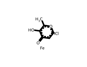 Cc1occc(=O)c1O.Cl.[Fe]